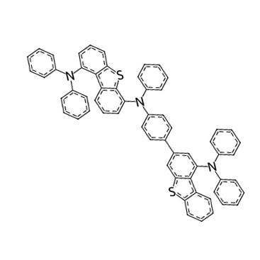 c1ccc(N(c2ccc(-c3cc(N(c4ccccc4)c4ccccc4)c4c(c3)sc3ccccc34)cc2)c2cccc3c2sc2cccc(N(c4ccccc4)c4ccccc4)c23)cc1